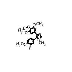 COc1ccc(-c2c(-c3cc(OC)c(OC)c(OC)c3)ncn2C)cc1F